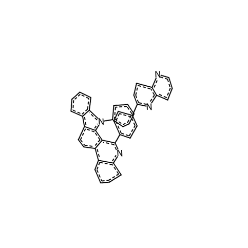 c1ccc(-n2c3ccccc3c3ccc4c5ccccc5nc(-c5ccc(-c6ccc7ncccc7n6)cc5)c4c32)cc1